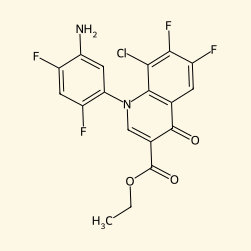 CCOC(=O)c1cn(-c2cc(N)c(F)cc2F)c2c(Cl)c(F)c(F)cc2c1=O